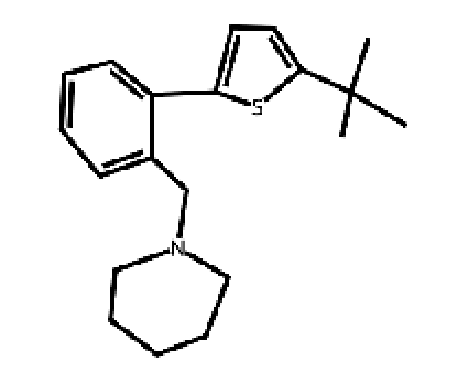 CC(C)(C)c1ccc(-c2ccccc2CN2CCCCC2)s1